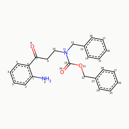 Nc1ccccc1C(=O)CCN(Cc1ccccc1)C(=O)OCc1ccccc1